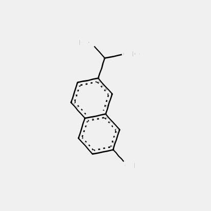 Cc1ccc2ccc(C(C)C=O)cc2c1